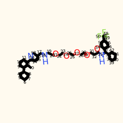 Cc1c(-c2ccccc2)cccc1-c1ccc(CNCCOCCOCCOCCOCCC(=O)NC(c2ccccc2)c2ccc(C(F)(F)F)cc2)cn1